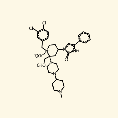 CN1CCC(N2CCN(C3(CC=O)CC(n4cc(-c5ccccc5)[nH]c4=O)CC[N@+]3(Cc3ccc(Cl)c(Cl)c3)C(=O)[O-])CC2)CC1